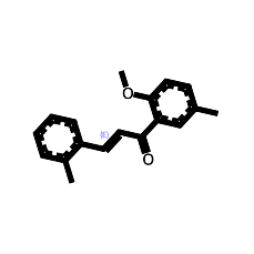 COc1ccc(C)cc1C(=O)/C=C/c1ccccc1C